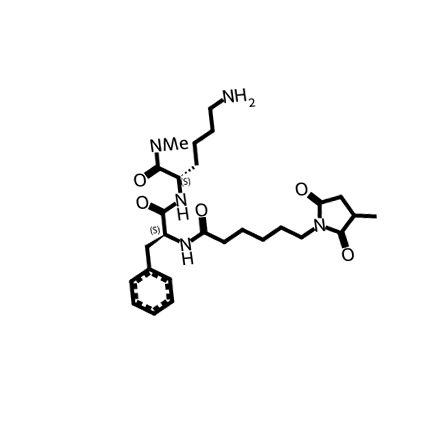 CNC(=O)[C@H](CCCCN)NC(=O)[C@H](Cc1ccccc1)NC(=O)CCCCCN1C(=O)CC(C)C1=O